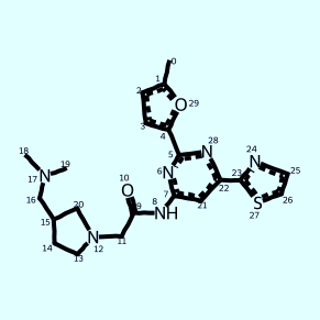 Cc1ccc(-c2nc(NC(=O)CN3CCC(CN(C)C)C3)cc(-c3nccs3)n2)o1